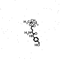 CC(C)(C)OC(=O)CC[C@H](N)C(=O)Nc1ccc(CO)cc1